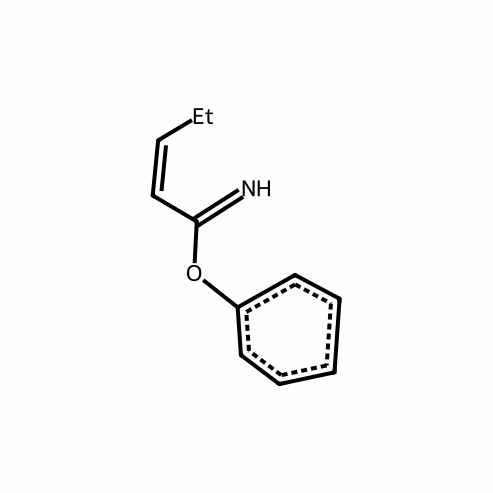 CC/C=C\C(=N)Oc1ccccc1